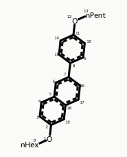 CCCCCCOc1ccc2cc(-c3ccc(OCCCCC)cc3)ccc2c1